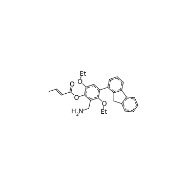 CC=CC(=O)Oc1c(OCC)cc(-c2cccc3c2Cc2ccccc2-3)c(OCC)c1CN